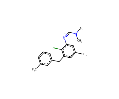 CCN(C)/C=N\c1cc(C)cc(Cc2cccc(C(F)(F)F)c2)c1Cl